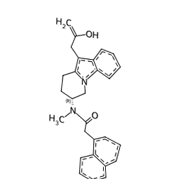 C=C(O)Cc1c2n(c3ccccc13)C[C@H](N(C)C(=O)Cc1cccc3ccccc13)CC2